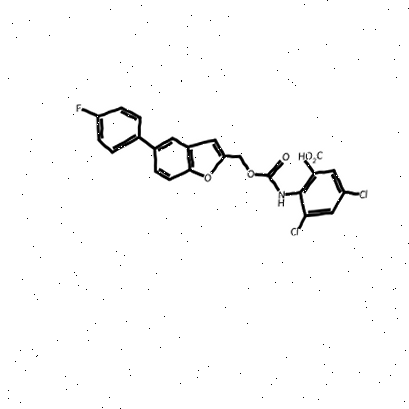 O=C(Nc1c(Cl)cc(Cl)cc1C(=O)O)OCc1cc2cc(-c3ccc(F)cc3)ccc2o1